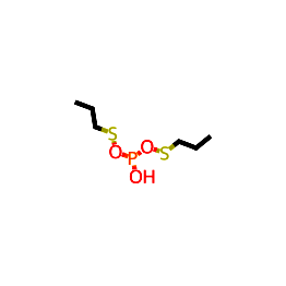 CCCSOP(O)OSCCC